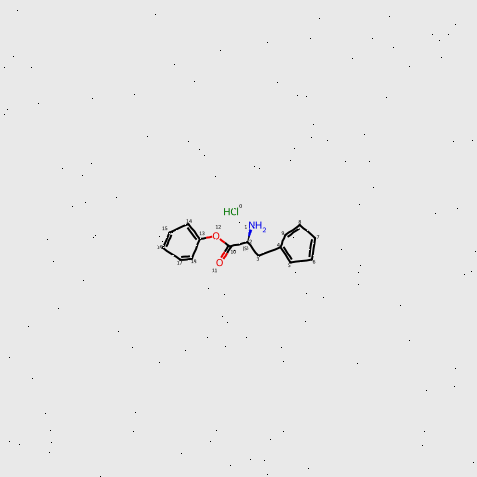 Cl.N[C@@H](Cc1ccccc1)C(=O)Oc1ccccc1